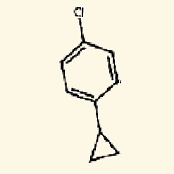 Clc1c[c]c(C2CC2)cc1